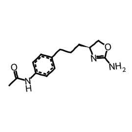 CC(=O)Nc1ccc(CCC[C@H]2COC(N)=N2)cc1